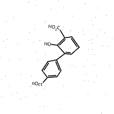 CCCCCCCCc1ccc(-c2cccc(C(=O)O)c2O)cc1